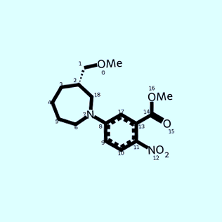 COC[C@H]1CCCCN(c2ccc([N+](=O)[O-])c(C(=O)OC)c2)C1